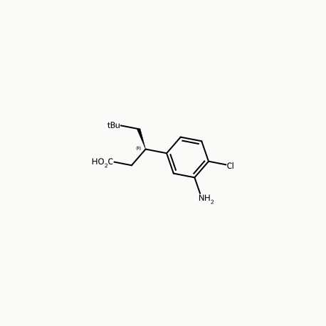 CC(C)(C)C[C@H](CC(=O)O)c1ccc(Cl)c(N)c1